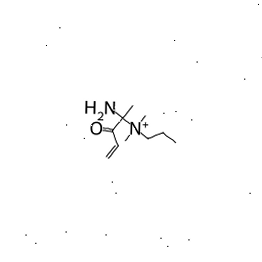 C=CC(=O)C(C)(N)[N+](C)(C)CCC